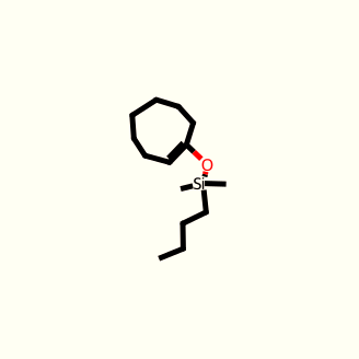 CCCC[Si](C)(C)OC1=CCCCCCC1